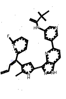 C=C/C=C(/c1cccc(F)c1)c1cc(-c2n[nH]c3ccc(-c4cncc(NC(=C)C(C)(C)C)c4)nc23)[nH]c1C